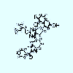 CN(C)CC1(COc2nc3c(c(N4CCCn5nc(C(=O)N6CCOCC6)cc5C4)n2)CCN(c2cc(O)cc4ccc(F)c(Cl)c24)C3)CC1